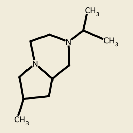 CC1CC2CN(C(C)C)CCN2C1